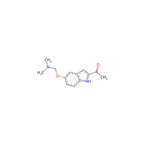 CC(=O)c1cc2cc(OCN(C)C)ccc2[nH]1